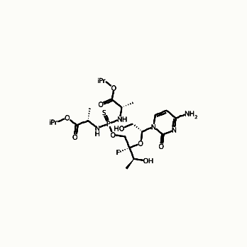 CC(C)OC(=O)[C@H](C)NP(=S)(N[C@@H](C)C(=O)OC(C)C)OC[C@@](F)(O[C@H](CO)n1ccc(N)nc1=O)[C@H](C)O